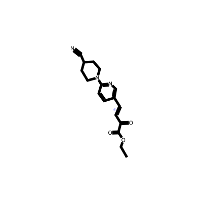 CCOC(=O)C(=O)/C=C/c1ccc(N2CCC(C#N)CC2)nc1